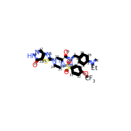 CCN(C)c1ccc(CNC(=O)[C@H]2CN(c3nc4cn[nH]c(=O)c4s3)CCN2S(=O)(=O)c2ccc(OC(F)(F)F)cc2)cc1